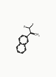 C=C(c1ccc2ccccc2c1)C(F)F